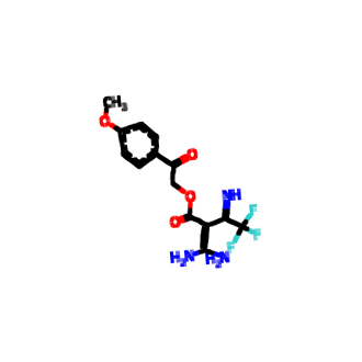 COc1ccc(C(=O)COC(=O)C(C(=N)C(F)(F)F)=C(N)N)cc1